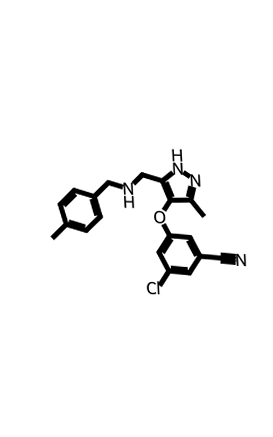 Cc1ccc(CNCc2[nH]nc(C)c2Oc2cc(Cl)cc(C#N)c2)cc1